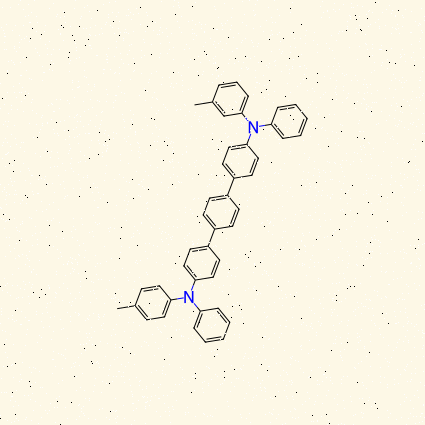 Cc1ccc(N(c2ccccc2)c2ccc(-c3ccc(-c4ccc(N(c5ccccc5)c5cccc(C)c5)cc4)cc3)cc2)cc1